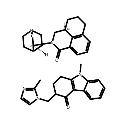 Cc1nccn1CC1CCc2c(c3ccccc3n2C)C1=O.O=C1c2cccc3c2[C@H](CCC3)CN1[C@@H]1CN2CCC1CC2